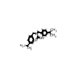 CC(C)c1ccc(CN(Cc2ccc(C(C)C)cc2)C(=O)O)cc1